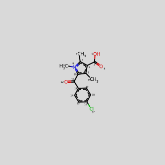 Cc1c(C(=O)O)c(C)n(C)c1C(=O)c1ccc(Cl)cc1